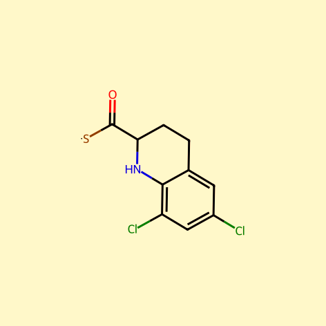 O=C([S])C1CCc2cc(Cl)cc(Cl)c2N1